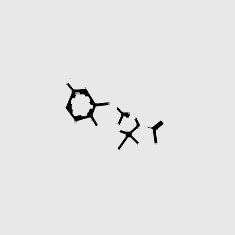 COC(=O)[C@@H]1N=C(Nc2cc(Cl)ccc2O)SC1(C)C